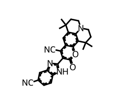 CC1(C)CCN2CCC(C)(C)c3c2c1cc1c(C#N)c(-c2nc4cc(C#N)ccc4[nH]2)c(=O)oc31